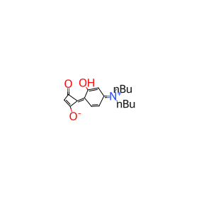 CCCC[N+](CCCC)=C1C=CC(=C2C(=O)C=C2[O-])C(O)=C1